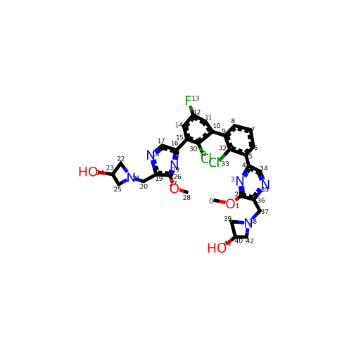 COc1nc(-c2cccc(-c3cc(F)cc(-c4cnc(CN5CC(O)C5)c(OC)n4)c3Cl)c2Cl)cnc1CN1CC(O)C1